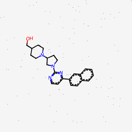 OCC1CCN(C2CCN(c3nccc(-c4ccc5ccccc5c4)n3)C2)CC1